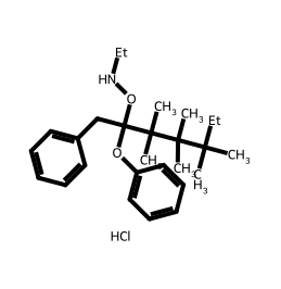 CCNOC(Cc1ccccc1)(Oc1ccccc1)C(C)(C)C(C)(C)C(C)(C)CC.Cl